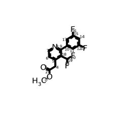 COC(=O)Cc1ccnc(-c2cc(F)cc(F)c2)c1C(F)F